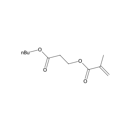 C=C(C)C(=O)OCCC(=O)OCCCC